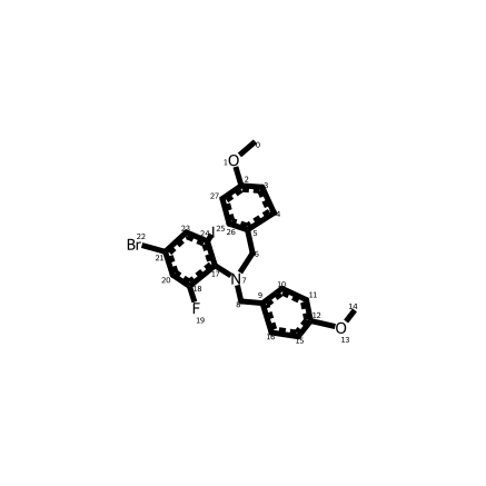 COc1ccc(CN(Cc2ccc(OC)cc2)c2c(F)cc(Br)cc2I)cc1